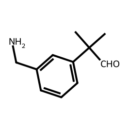 CC(C)(C=O)c1cccc(CN)c1